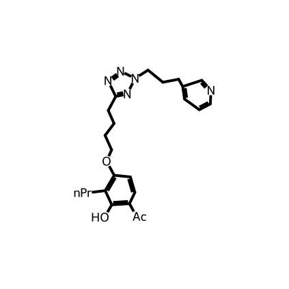 CCCc1c(OCCCCc2nnn(CCCc3cccnc3)n2)ccc(C(C)=O)c1O